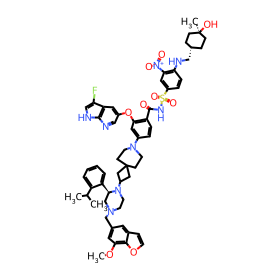 COc1cc(CN2CCN(C3CC4(CCN(c5ccc(C(=O)NS(=O)(=O)c6ccc(NC[C@H]7CC[C@](C)(O)CC7)c([N+](=O)[O-])c6)c(Oc6cnc7[nH]cc(F)c7c6)c5)CC4)C3)[C@H](c3ccccc3C(C)C)C2)cc2ccoc12